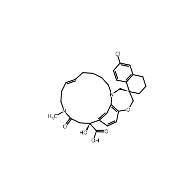 CN1CC/C=C/CCCCN2C[C@@]3(CCCc4cc(Cl)ccc43)COc3ccc(cc32)[C@](O)(C(=O)O)CC1=O